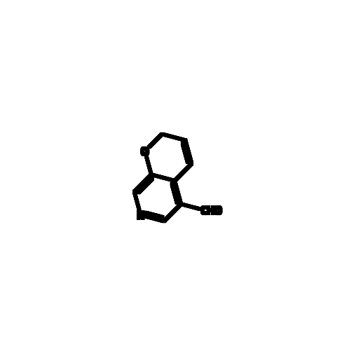 O=Cc1cncc2c1C=CCO2